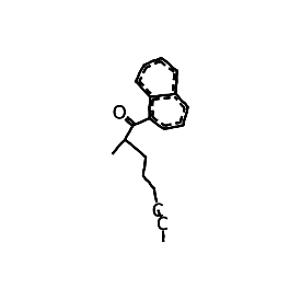 CCCCCCC(C)C(=O)c1cccc2ccccc12